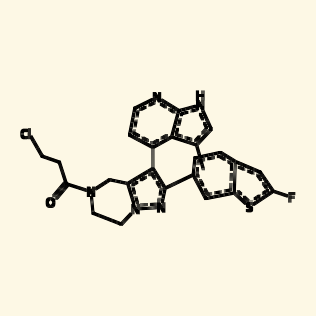 Cc1c[nH]c2nccc(-c3c(-c4ccc5cc(F)sc5c4)nn4c3CN(C(=O)CCCl)CC4)c12